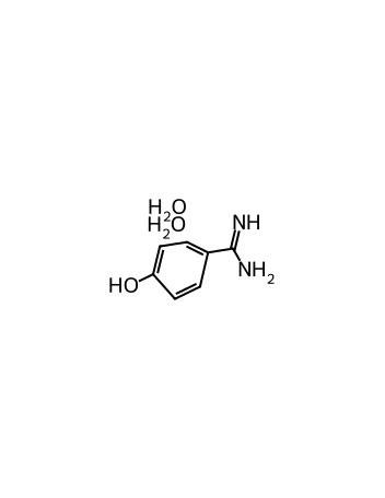 N=C(N)c1ccc(O)cc1.O.O